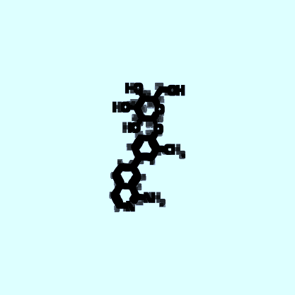 Cc1cc(-c2ccc3ccnc(N)c3c2)ccc1O[C@H]1O[C@H](CO)[C@@H](O)[C@H](O)[C@@H]1O